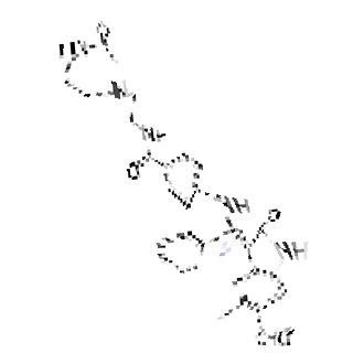 Cc1cc2c(cc1C=O)NC(=O)/C2=C(\Nc1ccc(C(=O)NCCN2CCCNC(=O)C2)cc1)c1ccccc1